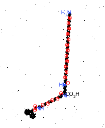 NCCOCCOCCOCCOCCOCCOCCOCCOCCOCCOCCOCCOCCC(=O)NCCCC[C@H](NC(=O)CCOCCOCCOCCOCCNC(=O)OCC1c2ccccc2-c2ccccc21)C(=O)O